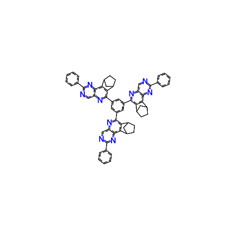 c1ccc(-c2ncc3nc(-c4cc(-c5nc6cnc(-c7ccccc7)nc6c6c5C5CCC6C5)cc(-c5nc6cnc(-c7ccccc7)nc6c6c5C5CCC6C5)c4)c4c(c3n2)C2CCC4C2)cc1